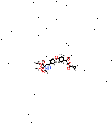 CCOC(=O)C(CCc1ccc(Oc2ccc(C(=O)COC(=O)C3CC3)cc2)cc1)(NC(C)=O)C(=O)OCC